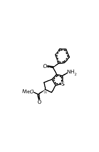 COC(=O)[C@@H]1Cc2sc(N)c(C(=O)c3ccccc3)c2C1